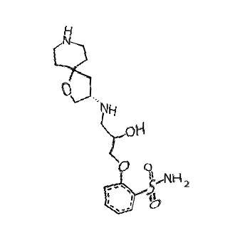 NS(=O)(=O)c1ccccc1OCC(O)CN[C@@H]1COC2(CCNCC2)C1